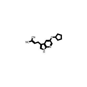 N#CC(C#N)=CCc1c[nH]c2ncc(OC3CCCC3)cc12